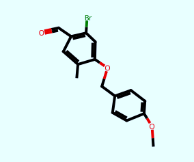 COc1ccc(COc2cc(Br)c(C=O)cc2C)cc1